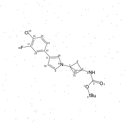 CC(C)(C)OC(=O)NC12CC(n3ccc(-c4ccc(Cl)c(F)c4)c3)(C1)C2